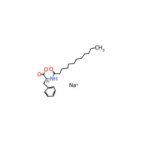 CCCCCCCCCCCC(=O)N[C@@H](Cc1ccccc1)C(=O)[O-].[Na+]